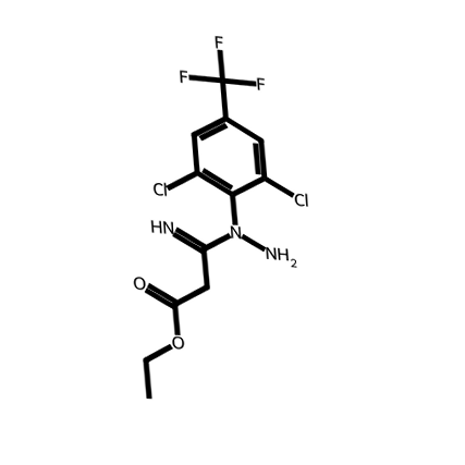 CCOC(=O)CC(=N)N(N)c1c(Cl)cc(C(F)(F)F)cc1Cl